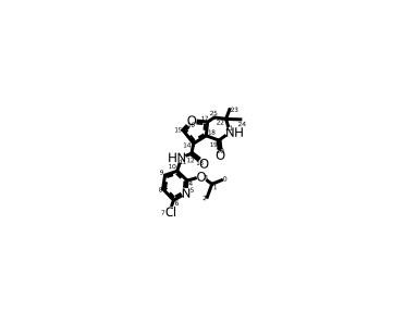 CC(C)Oc1nc(Cl)ccc1NC(=O)c1coc2c1C(=O)NC(C)(C)C2